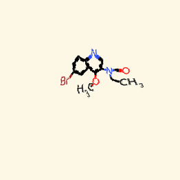 CCN(C=O)c1cnc2ccc(Br)cc2c1OC